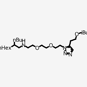 CCCCCCC(CCCC)CNCCOCCOCCn1nncc1CCOC(C)CC